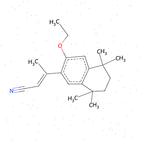 CCOc1cc2c(cc1C(C)=CC#N)C(C)(C)CCC2(C)C